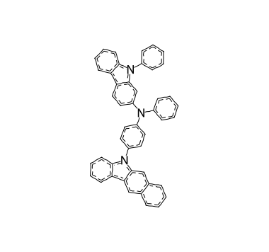 c1ccc(N(c2ccc(-n3c4ccccc4c4cc5ccccc5cc43)cc2)c2ccc3c4ccccc4n(-c4ccccc4)c3c2)cc1